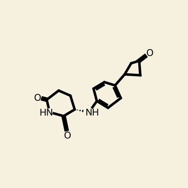 O=C1CC(c2ccc(N[C@H]3CCC(=O)NC3=O)cc2)C1